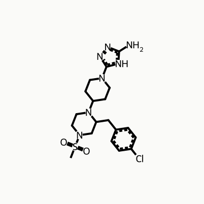 CS(=O)(=O)N1CCN(C2CCN(c3nnc(N)[nH]3)CC2)C(Cc2ccc(Cl)cc2)C1